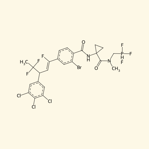 CN(C[PH](F)(F)F)C(=O)C1(NC(=O)c2ccc(/C(F)=C/C(c3cc(Cl)c(Cl)c(Cl)c3)C(C)(F)F)cc2Br)CC1